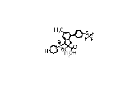 Cc1cc(-c2ccc(SC(F)(F)F)cc2)c2c(c1)C(S(=O)(=O)N1CCNCC1)C(C)(C(=O)O)C2